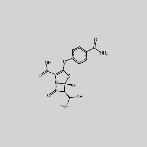 CC(O)[C@H]1C(=O)N2C(C(=O)O)=C(Oc3ccc(C(N)=O)cc3)S[C@H]12